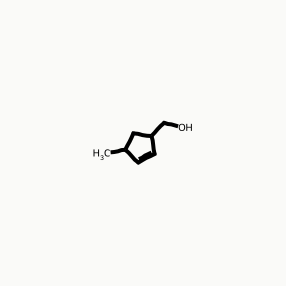 CC1C=CC(CO)C1